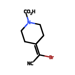 N#CC(Br)=C1CCN(C(=O)O)CC1